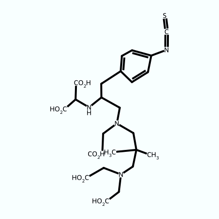 CC(C)(CN(CC(=O)O)CC(=O)O)CN(CC(=O)O)CC(Cc1ccc(N=C=S)cc1)NC(C(=O)O)C(=O)O